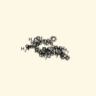 CC[C@H](C)[C@@H]([C@@H](CC(=O)N1CCC[C@H]1[C@H](OC)[C@@H](C)C(=O)N[C@@H](Cc1ccccc1)c1nccs1)OC)N(C)C(=O)[C@@H](NC(=O)[C@H](C(C)C)N(C)C(=O)OCc1ccc(NC(=O)[C@H](CCCNC(N)=O)NC(=O)[C@@H](NC(=O)CCCCCN2C(=O)CC(C3CCCCCC3)C2=O)C(C)C)cc1)C(C)C